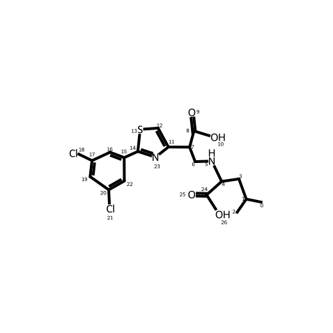 CC(C)CC(NCC(C(=O)O)c1csc(-c2cc(Cl)cc(Cl)c2)n1)C(=O)O